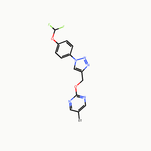 CCc1cnc(OCc2cn(-c3ccc(OC(F)F)cc3)nn2)nc1